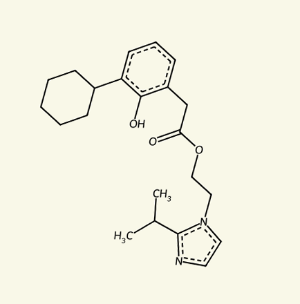 CC(C)c1nccn1CCOC(=O)Cc1cccc(C2CCCCC2)c1O